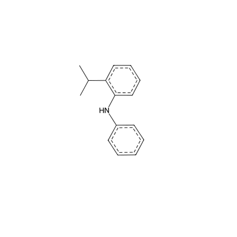 CC(C)c1ccccc1Nc1ccccc1